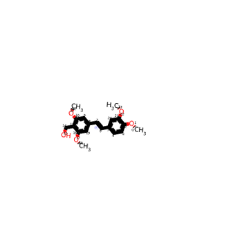 COc1ccc(/C=C/c2cc(OC)c(CO)c(OC)c2)cc1OC